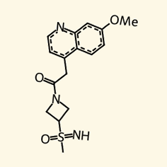 COc1ccc2c(CC(=O)N3CC(S(C)(=N)=O)C3)ccnc2c1